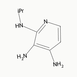 CC(C)Nc1nccc(N)c1N